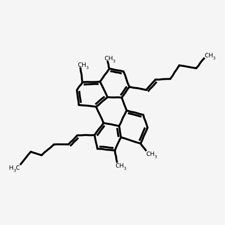 CCCCC=Cc1cc(C)c2c(C)ccc3c4c(C=CCCCC)cc(C)c5c(C)ccc(c1c23)c54